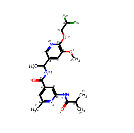 COc1cc(C(C)NC(=O)c2cc(C)nc(NC(=O)C(C)C)c2)cnc1OCC(F)F